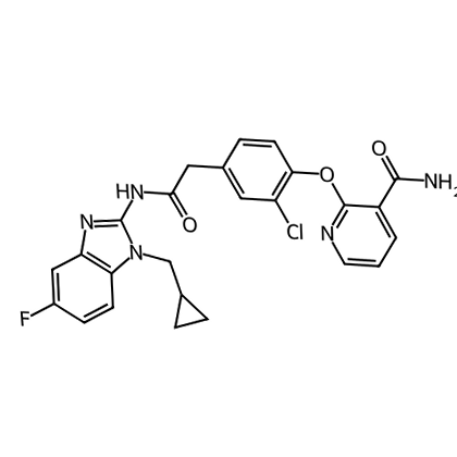 NC(=O)c1cccnc1Oc1ccc(CC(=O)Nc2nc3cc(F)ccc3n2CC2CC2)cc1Cl